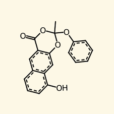 CC1(Oc2ccccc2)OC(=O)c2cc3cccc(O)c3cc2O1